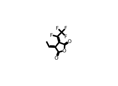 CC=C1C(=O)OC(=O)C1=C(F)C(F)(F)F